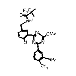 COc1nc(-c2ccc(C(F)(F)F)c(C(C)C)c2)nc(-c2cc(CNC(=O)C(C)(C)C(F)(F)F)ccc2Cl)n1